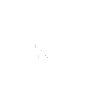 OCc1ccc2c(ncn2C2CCOC2)n1